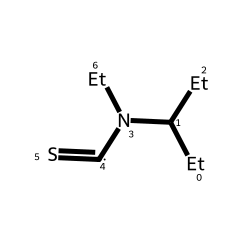 CCC(CC)N([C]=S)CC